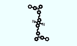 N#Cc1c2ccc(C=Cc3ccc(N(c4ccccc4)c4ccc(C5CCCCC5)cc4)cc3)cc2c(C#N)c2ccc(C=Cc3ccc(N(c4ccccc4)c4ccc(C5CCCCC5)cc4)cc3)cc12